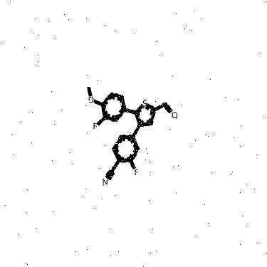 COc1ccc(-c2sc(C=O)cc2-c2ccc(C#N)c(F)c2)cc1F